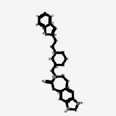 O=C1Cc2cc3c(cc2CCN1CC1CCCN(CCc2cc4ccccc4s2)C1)OCO3